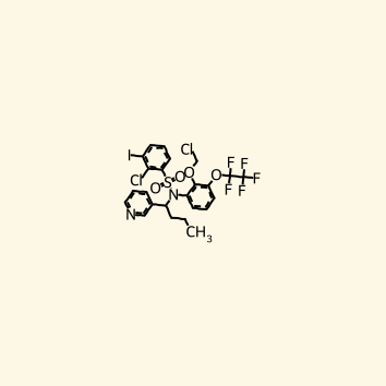 CCCC(c1cccnc1)N(c1cccc(OC(F)(F)C(F)(F)F)c1OCCl)S(=O)(=O)c1cccc(I)c1Cl